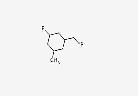 CC(C)CC1CC(C)CC(F)C1